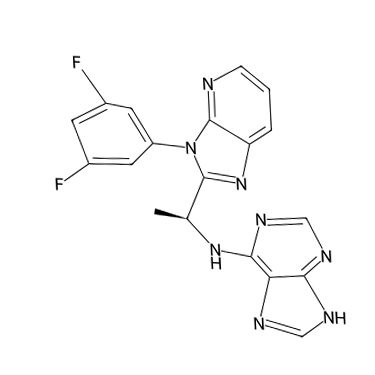 C[C@H](Nc1ncnc2[nH]cnc12)c1nc2cccnc2n1-c1cc(F)cc(F)c1